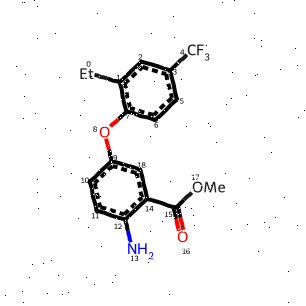 CCc1cc(C(F)(F)F)ccc1Oc1ccc(N)c(C(=O)OC)c1